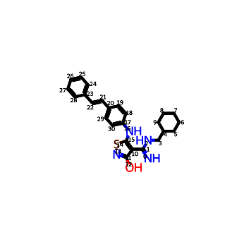 N=C(NCC1CCCCC1)c1c(O)nsc1Nc1ccc(/C=C/c2ccccc2)cc1